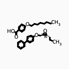 CCCCCCCCOc1ccc(C(=O)O)cc1.CCC[C@H]1O[C@@H]1COc1ccc(-c2ccccc2)cc1